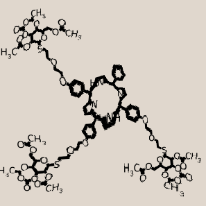 CC(=O)OCC1OC(SCCOCCOc2ccc(-c3c4nc(c(-c5ccc(OCCOCCSC6OC(COC(C)=O)C7OC(C)OC(=O)OC7C6OC(C)=O)cc5)c5ccc([nH]5)c(-c5ccc(OCCOCCSC6OC(COC(C)=O)C7OC(C)OC(=O)OC7C6OC(C)=O)cc5)c5nc(c(-c6ccccc6)c6ccc3[nH]6)C=C5)C=C4)cc2)C(OC(C)=O)C2OC(=O)OC(C)OC12